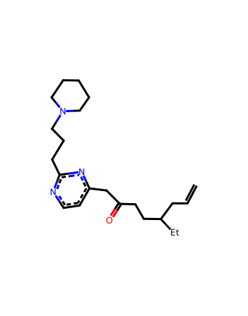 C=CCC(CC)CCC(=O)Cc1ccnc(CCCN2CCCCC2)n1